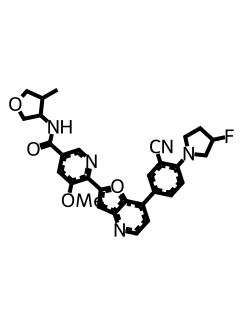 COc1cc(C(=O)NC2COCC2C)cnc1-c1cc2nccc(-c3ccc(N4CCC(F)C4)c(C#N)c3)c2o1